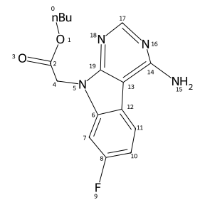 CCCCOC(=O)Cn1c2cc(F)ccc2c2c(N)ncnc21